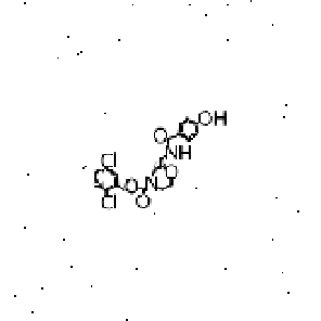 O=C(NC[C@@H]1CN(C(=O)OCc2cc(Cl)ccc2Cl)CCO1)c1ccc(O)cc1